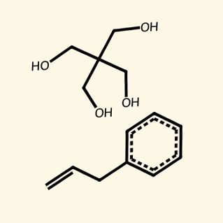 C=CCc1ccccc1.OCC(CO)(CO)CO